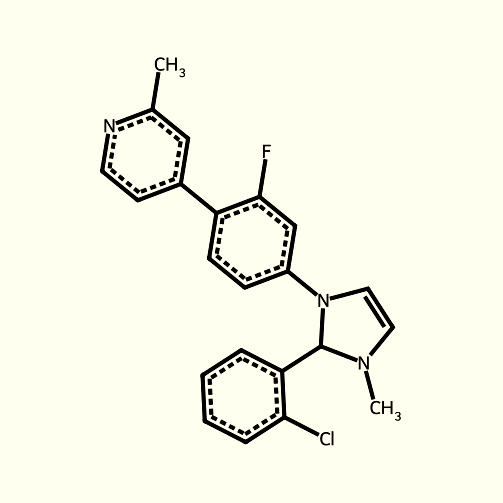 Cc1cc(-c2ccc(N3C=CN(C)C3c3ccccc3Cl)cc2F)ccn1